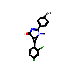 CN1C(c2ccc(C#N)cc2)=NC(=O)C2C(c3ccc(F)cc3F)C21